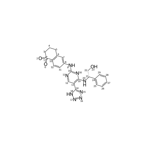 O=S1(=O)CCCc2cc(Nc3ncc(-c4nnn[nH]4)c(N[C@H](CO)c4ccccc4)n3)ccc21